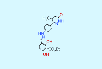 CCOC(=O)c1c(O)ccc(C=NNc2ccc(C3=NNC(=O)CC3C)cc2)c1O